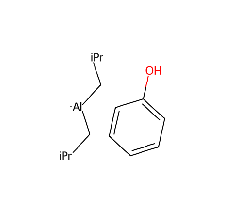 CC(C)[CH2][Al][CH2]C(C)C.Oc1ccccc1